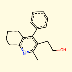 Cc1nc2c(c(-c3ccccc3)c1CCO)CCCC2